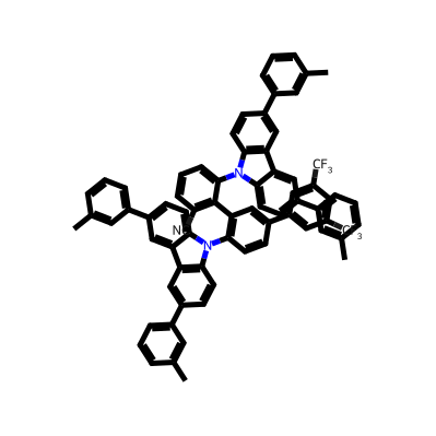 Cc1cccc(-c2ccc3c(c2)c2cc(-c4cccc(C)c4)ccc2n3-c2ccc(-c3cc(C(F)(F)F)cc(C(F)(F)F)c3)cc2-c2c(C#N)cccc2-n2c3ccc(-c4cccc(C)c4)cc3c3cc(-c4cccc(C)c4)ccc32)c1